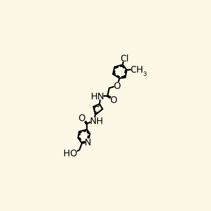 Cc1cc(OCC(=O)NC23CC(NC(=O)c4ccc(CO)nc4)(C2)C3)ccc1Cl